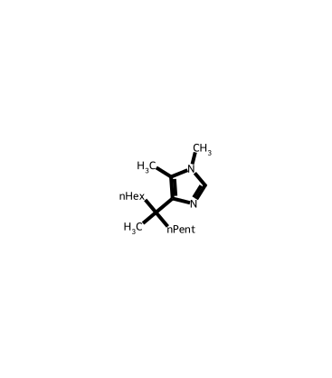 CCCCCCC(C)(CCCCC)c1ncn(C)c1C